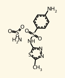 Cc1nnc(NS(=O)(=O)c2ccc(N)cc2)s1.N[SH](=O)=O